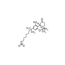 CC(C)(CCCCCCO[N+](=O)[O-])c1cc(O)c2c(c1)OC(C)(C)[C@@H]1CCC(=O)C[C@@H]21